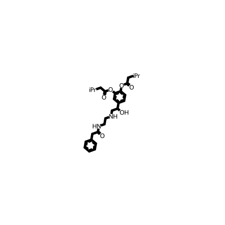 CC(C)CC(=O)Oc1ccc(C(O)CNCCNC(=O)Cc2ccccc2)cc1OC(=O)CC(C)C